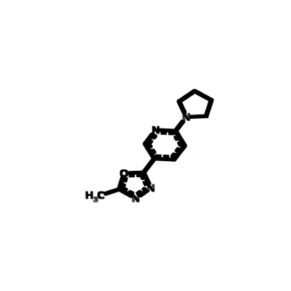 Cc1nnc(-c2ccc(N3CCCC3)nc2)o1